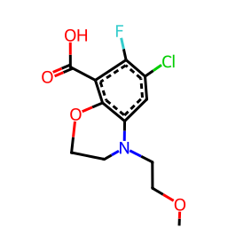 COCCN1CCOc2c1cc(Cl)c(F)c2C(=O)O